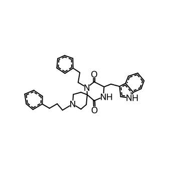 O=C1C(Cc2c[nH]c3ccccc23)NC(=O)C2(CCN(CCCc3ccccc3)CC2)N1CCc1ccccc1